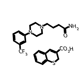 NC(=O)CCCN1CCN(c2cccc(C(F)(F)F)c2)CC1.O=C(O)C1=Cc2ccccc2SC1